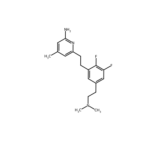 Cc1cc(N)nc(CCc2cc(CCN(C)C)cc(F)c2F)c1